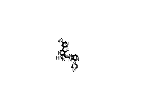 CN1CCN(c2nccc3[nH]c(-c4n[nH]c5ncc(-c6cncc(N(C)C)c6)c(F)c45)nc23)CC1